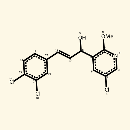 COc1ncc(Cl)cc1C(O)C=Cc1ccc(Cl)c(Cl)c1